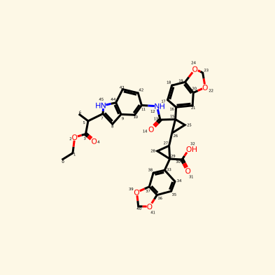 CCOC(=O)C(C)c1cc2cc(NC(=O)C3(c4ccc5c(c4)OCO5)CC3C3CC3(C(=O)O)c3ccc4c(c3)OCO4)ccc2[nH]1